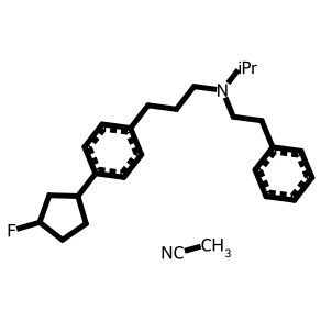 CC#N.CC(C)N(CCCc1ccc(C2CCC(F)C2)cc1)CCc1ccccc1